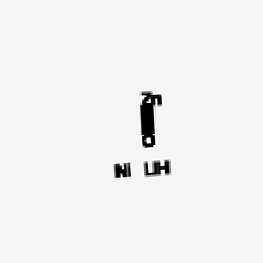 [LiH].[Ni].[O]=[Zn]